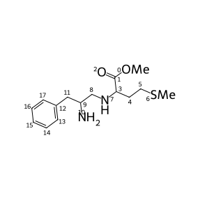 COC(=O)C(CCSC)NCC(N)Cc1ccccc1